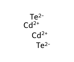 [Cd+2].[Cd+2].[Te-2].[Te-2]